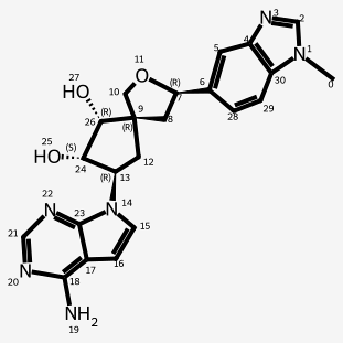 Cn1cnc2cc([C@H]3C[C@@]4(CO3)C[C@@H](n3ccc5c(N)ncnc53)[C@H](O)[C@@H]4O)ccc21